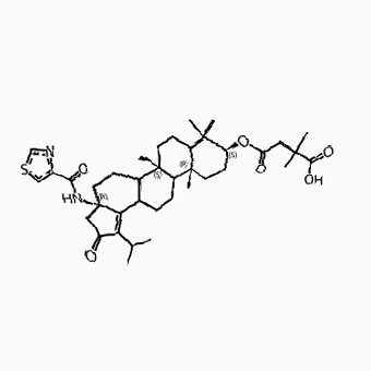 CC(C)C1=C2C3CCC4[C@@](C)(CCC5C(C)(C)[C@@H](OC(=O)CC(C)(C)C(=O)O)CC[C@@]54C)C3CC[C@@]2(NC(=O)c2cscn2)CC1=O